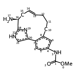 COC(=O)Nc1ccc2c(c1)CCC/C=C/C[C@H](N)c1nc-2c[nH]1